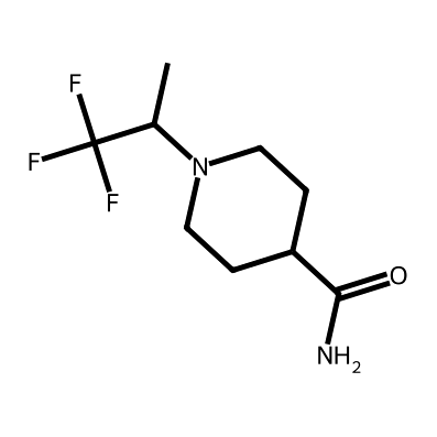 CC(N1CCC(C(N)=O)CC1)C(F)(F)F